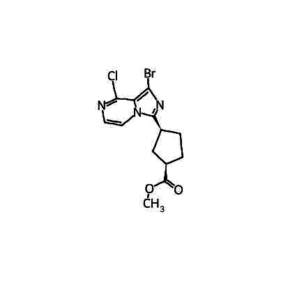 COC(=O)[C@@H]1CC[C@H](c2nc(Br)c3c(Cl)nccn23)C1